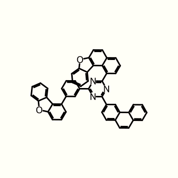 c1cc(-c2nc(-c3ccc4ccc5ccccc5c4c3)nc(-c3cccc4ccc5oc6ccccc6c5c34)n2)cc(-c2cccc3oc4ccccc4c23)c1